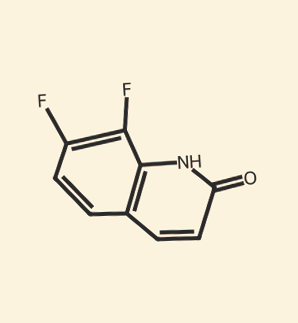 O=c1ccc2ccc(F)c(F)c2[nH]1